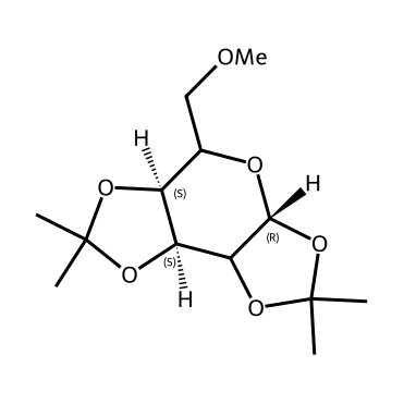 COCC1O[C@@H]2OC(C)(C)OC2[C@H]2OC(C)(C)O[C@@H]12